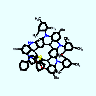 Cc1cc(C)c(N2c3cc4c(cc3B3c5sc6ccccc6c5Oc5cc(C(C)(C)C)cc2c53)B2c3cc5c(cc3N(c3c(C)cc(C)cc3C)c3cc(C(C)(C)C)cc(c32)N4c2c(C)cc(C)cc2C)Nc2cc(C(C)(C)C)cc3c2B5c2sc4ccccc4c2N3c2ccccc2)c(C)c1